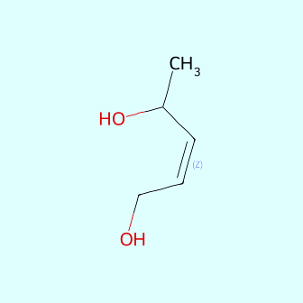 CC(O)/C=C\CO